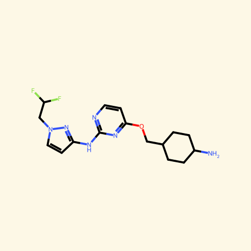 NC1CCC(COc2ccnc(Nc3ccn(CC(F)F)n3)n2)CC1